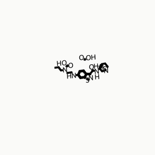 CCCN(CCNc1ccc2c(C(=O)N[C@@H]3CN4CCC3CC4)nsc2c1)C(=O)O.O=CO